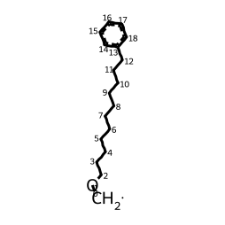 [CH2]OCCCCCCCCCCCc1ccccc1